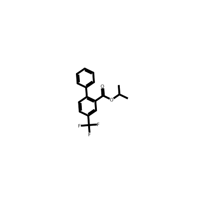 CC(C)OC(=O)c1cc(C(F)(F)F)ccc1-c1ccccc1